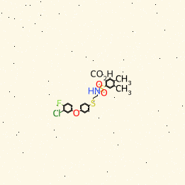 Cc1cc(S(=O)(=O)NCCSc2ccc(Oc3ccc(F)c(Cl)c3)cc2)cc(C(=O)O)c1C